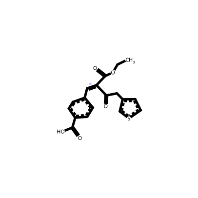 CCOC(=O)/C(=C/c1ccc(C(=O)O)cc1)C(=O)Cc1ccsc1